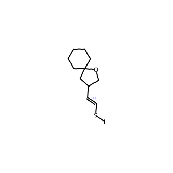 IS/C=C/C1COC2(CCCCC2)C1